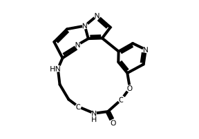 O=C1COc2cncc(c2)-c2cnn3ccc(nc23)NCCCN1